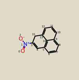 O=[N+]([O-])C1=Cc2cccc3cccc(c23)C1